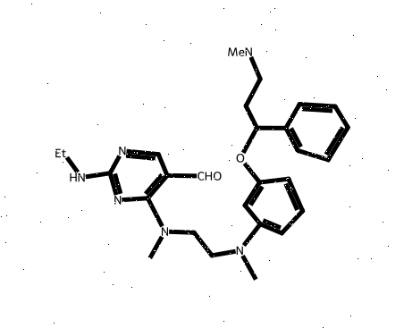 CCNc1ncc(C=O)c(N(C)CCN(C)c2cccc(OC(CCNC)c3ccccc3)c2)n1